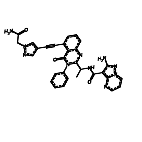 CC(NC(=O)c1c(N)nn2cccnc12)c1nc2cccc(C#Cc3cnn(CC(N)=O)c3)c2c(=O)n1-c1ccccc1